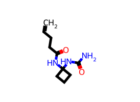 C=CCCC(=O)NC1(NC(N)=O)CCC1